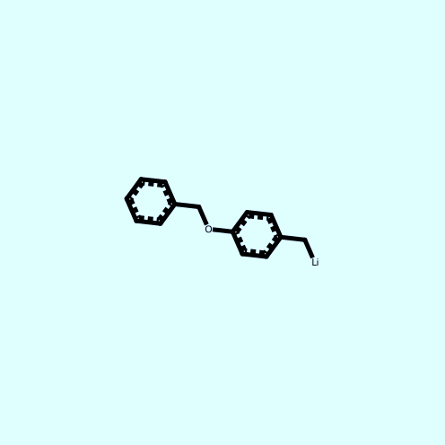 [Li][CH2]c1ccc(OCc2ccccc2)cc1